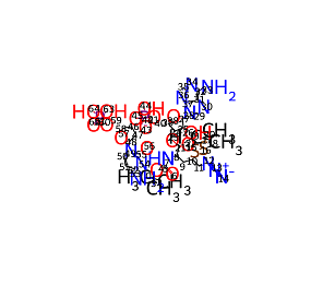 CC(C)(C)OC(=O)NC(CC(CN=[N+]=[N-])SSC(C)(C)C)C(=O)O[C@H]1[C@@H](O)[C@H](n2cnc3c(N)ncnc32)O[C@H]1COP(=O)(O)O[C@H]1C[C@H](n2ccc(N)nc2=O)O[C@@H]1COP(=O)(O)O